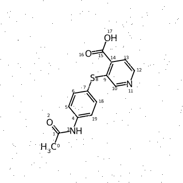 CC(=O)Nc1ccc(Sc2cnccc2C(=O)O)cc1